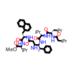 COC(=O)[C@@H](NC(=O)[C@H](Cc1cccc2ccccc12)NC(=O)C[C@H](N)[C@H](Cc1ccccc1)NC(=O)[C@@H](NC(=O)[C@H](CC(C)C)NC(=O)CC(C)C)C(C)C)C(C)C